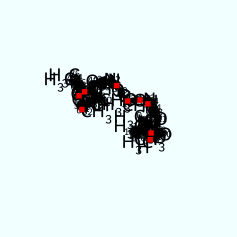 CCCN(C(=O)OC(CNC(=O)c1ccc(-n2cc(COCCOC(C)COCCOCc3cn(-c4ccc(C(=O)NCC(OC(=O)N(CCC)C(C)C(=O)Nc5ccccc5C)c5cc(=O)oc6cc(N(CC)CC)ccc56)cc4)nn3)nn2)cc1)c1cc(=O)oc2cc(C)ccc12)C(C)C(=O)Nc1ccccc1C